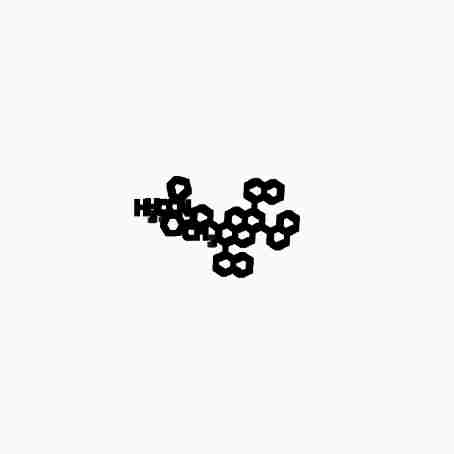 CC1CCCC2(C)c3cc(-c4cc(-c5cccc6ccccc56)c5ccc6c(-c7cccc8ccccc78)cc(-c7cccc8ccccc78)c7ccc4c5c76)ccc3N(c3ccccc3)C12C